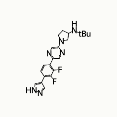 CC(C)(C)NC1CCN(c2cnc(-c3ccc(-c4cn[nH]c4)c(F)c3F)cn2)C1